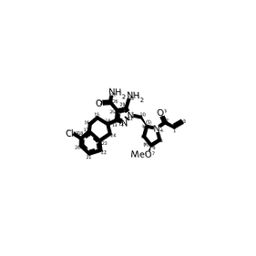 C=CC(=O)N1C[C@H](OC)C[C@H]1Cn1nc(C2CCc3c(Cl)cccc3C2)c(C(N)=O)c1N